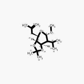 C=C(C)C[C@H]1O[C@H](OC)C(C(C)C)[C@H]2OC(C)(C)O[C@H]21